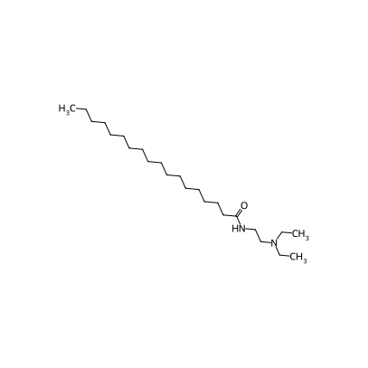 CCCCCCCCCCCCCCCCCC(=O)NCCN(CC)CC